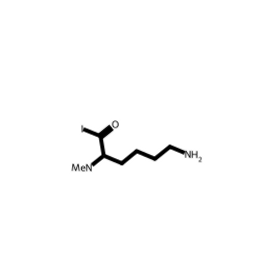 CNC(CCCCN)C(=O)I